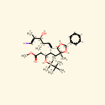 COC(=O)C[C@@H](CC[C@@]1(C)O[C@@H](c2ccccc2)O[C@H]1/C=C/[C@H](C)[C@H](O)/C(C)=C/I)O[Si](C)(C)C(C)(C)C